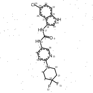 O=C(Nc1cnc(N2CCC(F)(F)CC2)nc1)Nc1c[nH]c2ccc(Cl)cc12